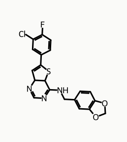 Fc1ccc(C2=CC3N=CN=C(NCc4ccc5c(c4)OCO5)C3S2)cc1Cl